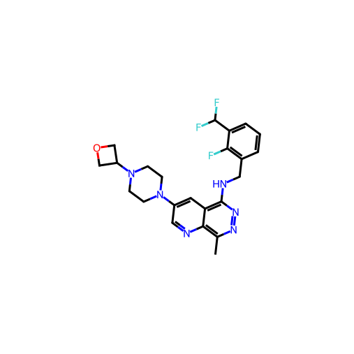 Cc1nnc(NCc2cccc(C(F)F)c2F)c2cc(N3CCN(C4COC4)CC3)cnc12